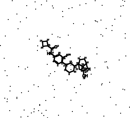 O=C(Nc1ccc(N2CCCC(C34CCC(CC(O)C3)N4C(=O)O)C2)c(F)c1)C1CCC1